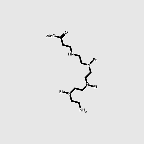 CCN(CCN)CCN(CC)CCN(CC)CCNCCC(=O)OC